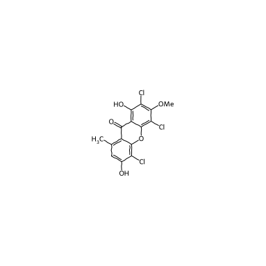 COc1c(Cl)c(O)c2c(=O)c3c(C)cc(O)c(Cl)c3oc2c1Cl